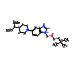 COC(OC)C1CCN(c2ccc3c(c2)ncn3COCC[Si](C)(C)C)CC1